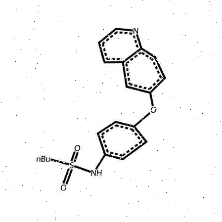 CCCCS(=O)(=O)Nc1ccc(Oc2ccc3ncccc3c2)cc1